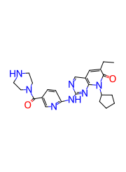 CCc1cc2cnc(Nc3ccc(C(=O)N4CCNCC4)cn3)nc2n(C2CCCC2)c1=O